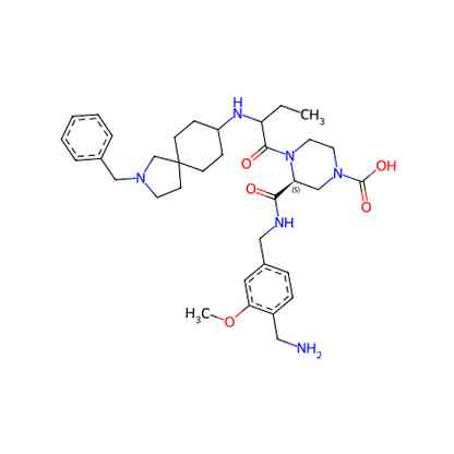 CCC(NC1CCC2(CC1)CCN(Cc1ccccc1)C2)C(=O)N1CCN(C(=O)O)C[C@H]1C(=O)NCc1ccc(CN)c(OC)c1